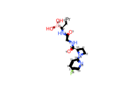 CC(C)C[C@@H](NC(=O)CNC(=O)[C@@H]1CCN1c1ccc(F)cn1)B(O)O